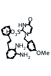 COc1ccc(CN2C=CC(=O)NC2S(=O)(=O)O)cc1.Nc1cccc(C=Cc2ccccc2)c1N